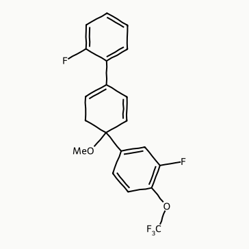 COC1(c2ccc(OC(F)(F)F)c(F)c2)C=CC(c2ccccc2F)=CC1